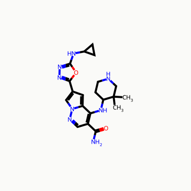 CC1(C)CNCCC1Nc1c(C(N)=O)cnn2cc(-c3nnc(NC4CC4)o3)cc12